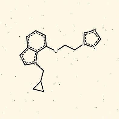 c1cc(OCCn2cncn2)c2c(c1)ccn2CC1CC1